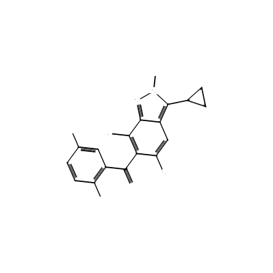 Cn1nc2c(Br)c(C(=O)c3cc(F)ccc3Cl)c(N)cc2c1C1CC1